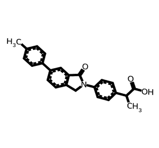 Cc1ccc(-c2ccc3c(c2)C(=O)N(c2ccc(C(C)C(=O)O)cc2)C3)cc1